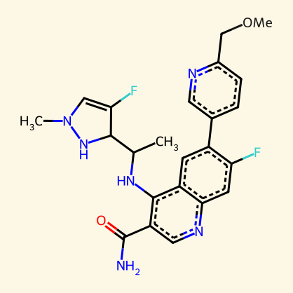 COCc1ccc(-c2cc3c(NC(C)C4NN(C)C=C4F)c(C(N)=O)cnc3cc2F)cn1